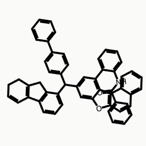 O=C(Nc1ccccc1-c1cc(C(c2ccc(-c3ccccc3)cc2)c2cccc3c2CC2=C3C=CCC2)cc2oc3ccc4ccccc4c3c12)c1ccccc1